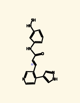 O=C(/C=C/c1cnccc1-c1cn[nH]c1)Nc1cccc(NS)c1